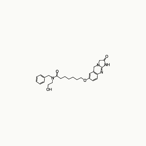 O=C1CN2Cc3cc(OCCCCCCC(=O)N(CCO)Cc4ccccc4)ccc3N=C2N1